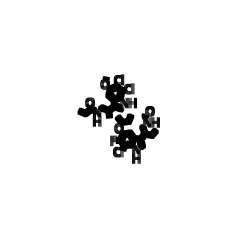 CCC(=O)NCC(C)c1c[nH]c2c(Cl)c(Cl)c(OC)cc12.CCC(C)Oc1cc2c(C(CC)CNC=O)c[nH]c2c(Cl)c1F